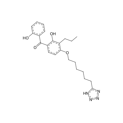 CCCc1c(OCCCCCCc2nnn[nH]2)ccc(C(=O)c2ccccc2O)c1O